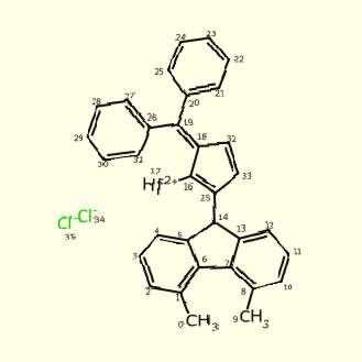 Cc1cccc2c1-c1c(C)cccc1C2C1=[C]([Hf+2])C(=C(c2ccccc2)c2ccccc2)C=C1.[Cl-].[Cl-]